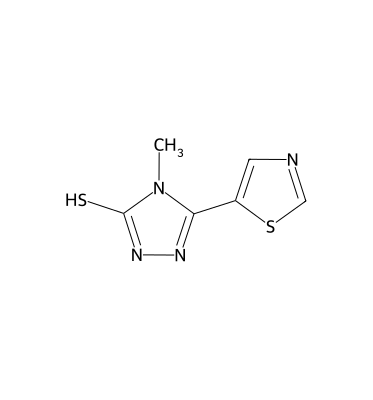 Cn1c(S)nnc1-c1cncs1